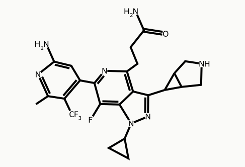 Cc1nc(N)cc(-c2nc(CCC(N)=O)c3c(C4C5CNCC54)nn(C4CC4)c3c2F)c1C(F)(F)F